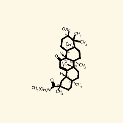 CC(=O)O[C@@H]1CC[C@@]2(C)C(CC[C@]3(C)[C@@H]2C(=O)C=C2[C@H]4C[C@@](C)(C(=O)N(C)O)CC[C@]4(C)CC[C@]23C)C1(C)C